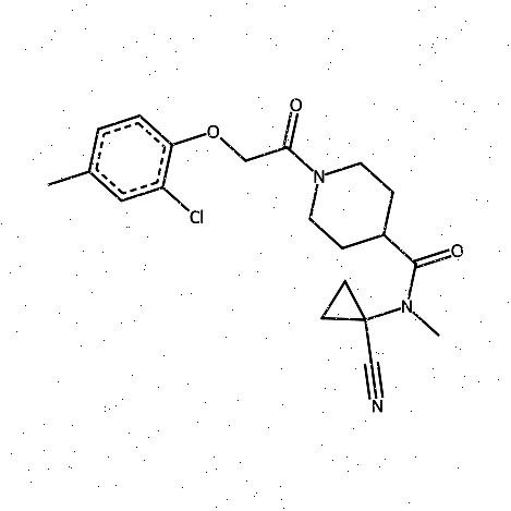 Cc1ccc(OCC(=O)N2CCC(C(=O)N(C)C3(C#N)CC3)CC2)c(Cl)c1